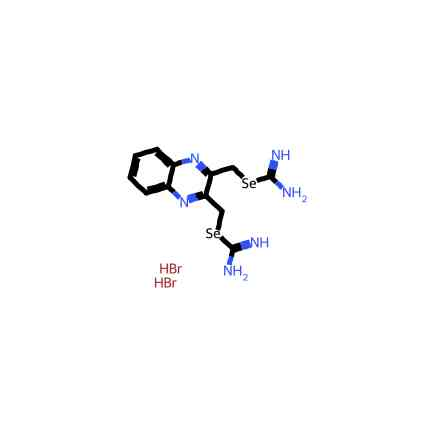 Br.Br.N=C(N)[Se]Cc1nc2ccccc2nc1C[Se]C(=N)N